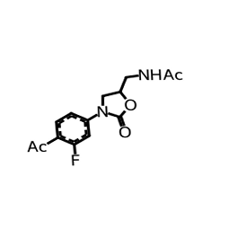 CC(=O)NCC1CN(c2ccc(C(C)=O)c(F)c2)C(=O)O1